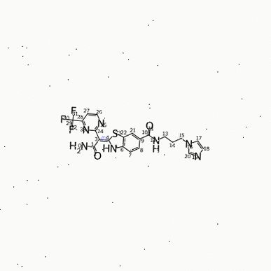 NC(=O)/C(=C1\Nc2ccc(C(=O)NCCCn3ccnc3)cc2S1)c1nccc(C(F)(F)F)n1